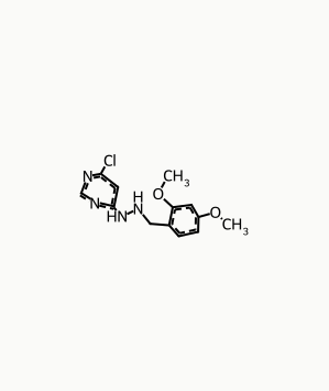 COc1ccc(CNNc2cc(Cl)ncn2)c(OC)c1